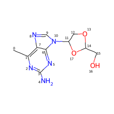 Cc1nc(N)nc2c1ncn2C1COC(CO)O1